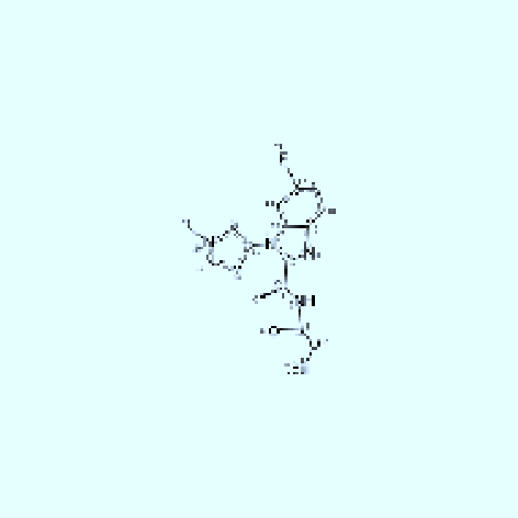 C[C@H](NC(=O)OC(C)(C)C)c1nc2ccc(F)cc2n1-c1cnn(C)c1